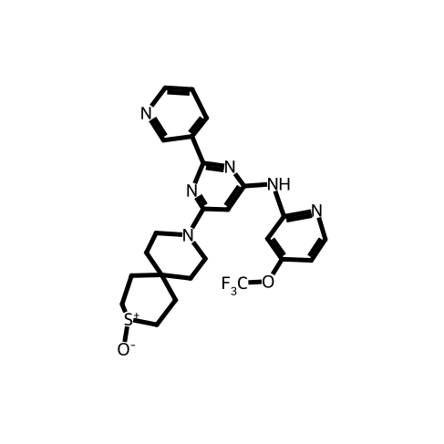 [O-][S+]1CCC2(CCN(c3cc(Nc4cc(OC(F)(F)F)ccn4)nc(-c4cccnc4)n3)CC2)CC1